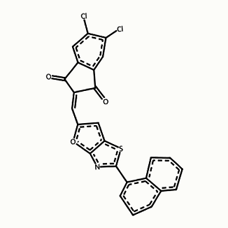 O=C1C(=Cc2cc3sc(-c4cccc5ccccc45)nc3o2)C(=O)c2cc(Cl)c(Cl)cc21